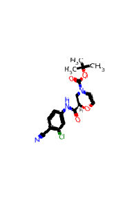 CC(C)(C)OC(=O)N1CCO[C@@H](C(=O)Nc2ccc(C#N)c(Cl)c2)C1